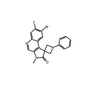 CN1C(=O)C2(CN(c3ccccc3)C2)c2c1cnc1cc(F)c(Br)cc21